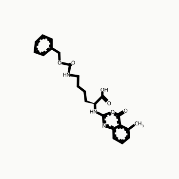 Cc1cccc2nc(N[C@@H](CCCCNC(=O)OCc3ccccc3)C(=O)O)oc(=O)c12